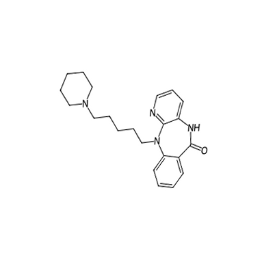 O=C1Nc2cccnc2N(CCCCCN2CCCCC2)c2ccccc21